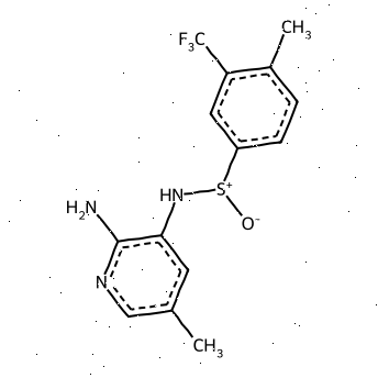 Cc1cnc(N)c(N[S+]([O-])c2ccc(C)c(C(F)(F)F)c2)c1